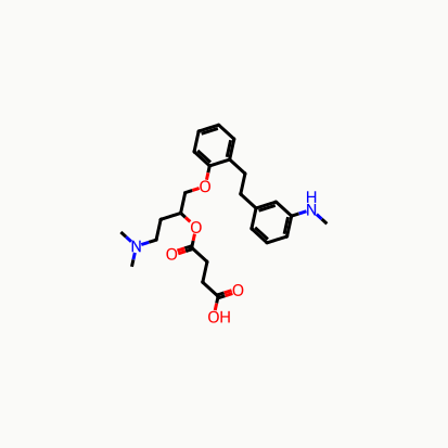 CNc1cccc(CCc2ccccc2OCC(CCN(C)C)OC(=O)CCC(=O)O)c1